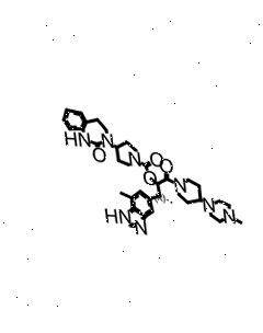 Cc1cc([C@@H](C)C(OC(=O)N2CCC(N3CCc4ccccc4NC3=O)CC2)C(=O)N2CCC(N3CCN(C)CC3)CC2)cc2nc[nH]c12